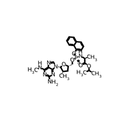 CNc1nc(N)nc2c1ncn2[C@@H]1O[C@H](CO[P@@](=S)(N[C@@H](C)C(=O)OC(C)C)Oc2cccc3ccccc23)C[C@@H]1C